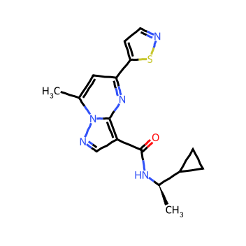 Cc1cc(-c2ccns2)nc2c(C(=O)N[C@H](C)C3CC3)cnn12